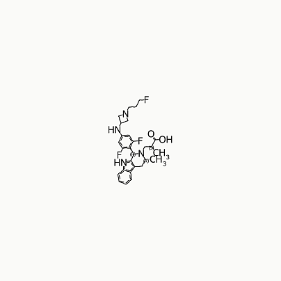 C[C@@H]1Cc2c([nH]c3ccccc23)[C@@H](c2c(F)cc(NC3CN(CCCF)C3)cc2F)N1C[C@H](C)C(=O)O